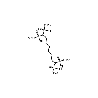 COP(=O)(O)N(CCCCCCN(P(=O)(O)OC)P(=O)(O)OC)P(=O)(O)OC